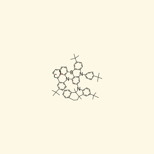 CC(C)(C)c1ccc(N2c3ccc(C(C)(C)C)cc3B3c4ccccc4N(c4ccc(C(C)(C)C)cc4-c4ccccc4)c4cc(N5c6ccc(C(C)(C)C)cc6C6(C)CCc7ccccc7C56C)cc2c43)cc1